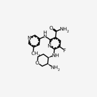 Cc1cncc(Nc2nc(N[C@@H]3CCOC[C@@H]3N)c(F)cc2C(N)=O)c1